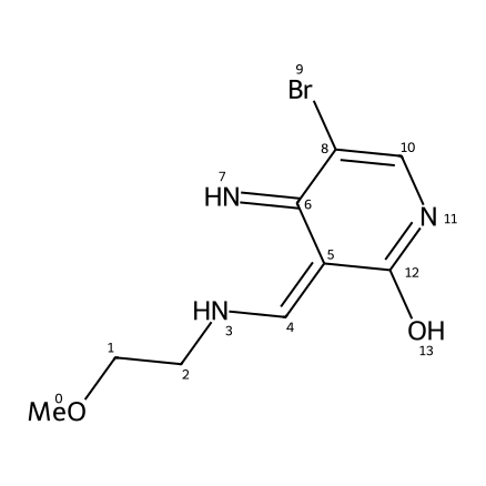 COCCN/C=C1\C(=N)C(Br)=CN=C1O